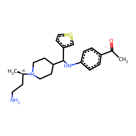 CC(=O)c1ccc(NC(c2ccsc2)C2CCN([C@H](C)CCN)CC2)cc1